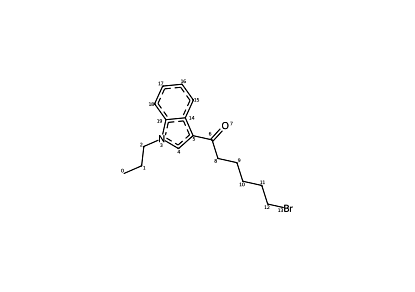 CCCn1cc(C(=O)CCCCCBr)c2ccccc21